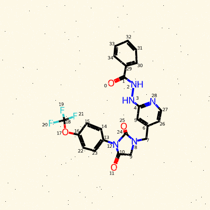 O=C(NNc1cc(CN2CC(=O)N(c3ccc(OC(F)(F)F)cc3)C2=O)ccn1)c1ccccc1